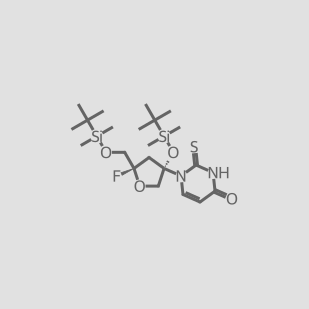 CC(C)(C)[Si](C)(C)OC[C@]1(F)C[C@@](O[Si](C)(C)C(C)(C)C)(n2ccc(=O)[nH]c2=S)CO1